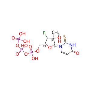 C[C@@]1(O)C(F)[C@@H](COP(=O)(O)OP(=O)(O)OP(=O)(O)O)O[C@H]1n1ccc(=O)[nH]c1=S